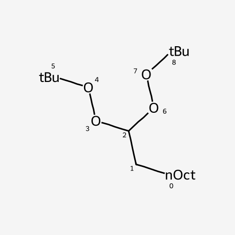 CCCCCCCCCC(OOC(C)(C)C)OOC(C)(C)C